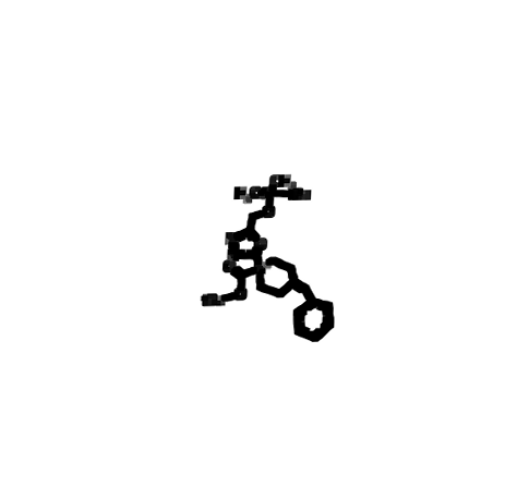 CC(C)(C)OC(=O)[N+]1(c2nnc(CO[Si](C)(C)C(C)(C)C)o2)CCC(=Cc2ccccc2)CC1